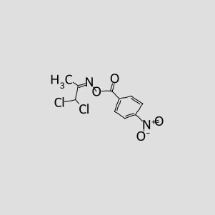 CC(=NOC(=O)c1ccc([N+](=O)[O-])cc1)C(Cl)Cl